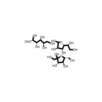 O=C[C@H](O)[C@@H](O)[C@H](O)[C@H](O)CO.OC[C@@H](O)[C@H]1OC(O)[C@H](O)[C@H]1O.OC[C@H]1OC(O)(CO)[C@@H](O)[C@@H]1O